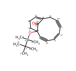 CC(C)(C)[Si](C)(C)OC12C#C/C=C\C#CCC(=CCC1)C2=O